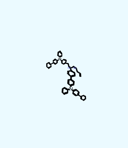 C=CC/C=C\C(=C/Cc1ccc(N(c2ccccc2)c2ccc(C3=CCCC=C3)cc2)cc1)c1ccc(-c2ccc(N(c3ccccc3)c3ccc(-c4ccccc4)cc3)cc2)cc1